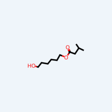 CC(C)CC(=O)OCCCCCCO